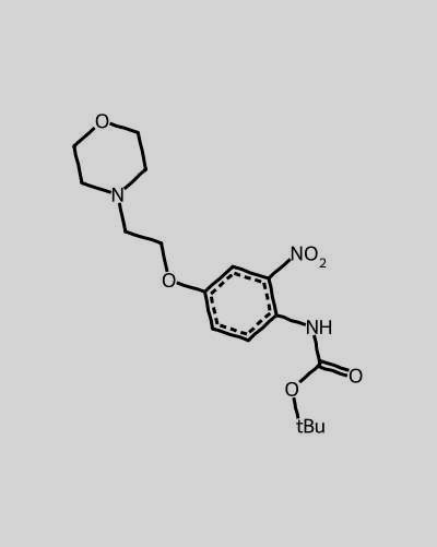 CC(C)(C)OC(=O)Nc1ccc(OCCN2CCOCC2)cc1[N+](=O)[O-]